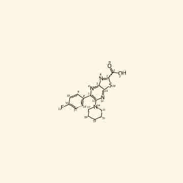 O=C(O)c1nc2nc(-c3ccc(F)cc3)c(N3CCCCC3)nc2s1